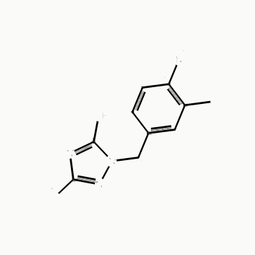 Cc1cc(Cn2nc(C(F)(F)F)nc2C(F)(F)F)ccc1[N+](=O)[O-]